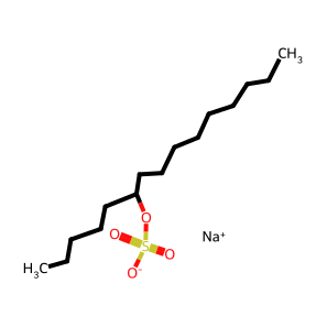 CCCCCCCCCC(CCCCC)OS(=O)(=O)[O-].[Na+]